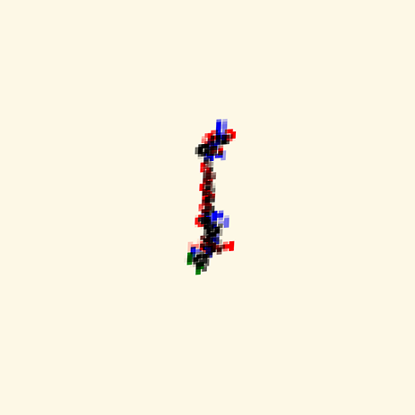 O=C1CCC(N2C(=O)c3cccc(NCCOCCOCCOCCOCCOCCNC(=O)c4cc5cc(N6CC(O)C(O)(C(=O)NCc7cc(F)cc(F)c7)C6=O)ccc5[nH]4)c3C2=O)C(=O)N1